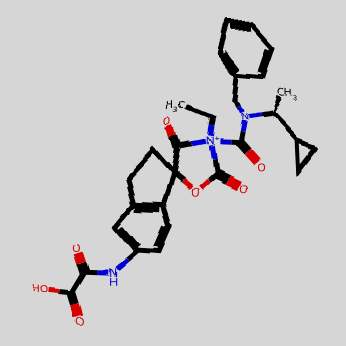 CC[N+]1(C(=O)N(Cc2ccccc2)[C@@H](C)C2CC2)C(=O)OC2(CCc3cc(NC(=O)C(=O)O)ccc32)C1=O